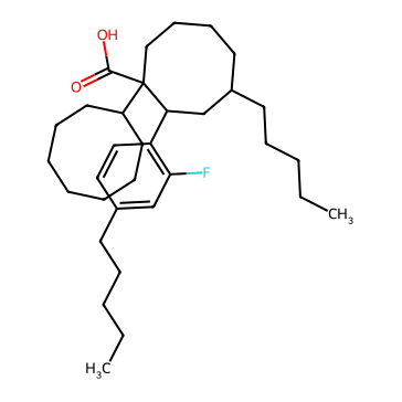 CCCCCc1ccc(C2CC(CCCCC)CCCCC2(C(=O)O)C2CCCCCCC2)c(F)c1